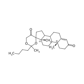 CCCCC1(C)OCC(=O)C2(CCC3C4CCC5=CC(=O)CC[C@]5(C)C4CC[C@@]32C)O1